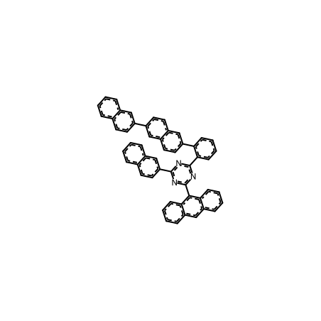 c1ccc(-c2nc(-c3ccc4ccccc4c3)nc(-c3c4ccccc4cc4ccccc34)n2)c(-c2ccc3cc(-c4ccc5ccccc5c4)ccc3c2)c1